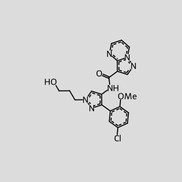 COc1ccc(Cl)cc1-c1nn(CCCO)cc1NC(=O)c1cnn2cccnc12